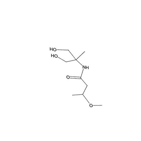 COC(C)CC(=O)NC(C)(CO)CO